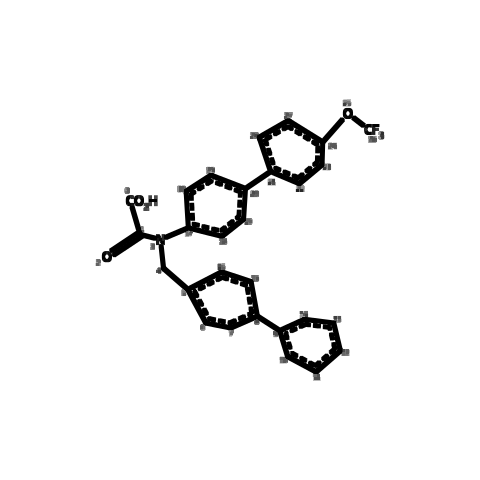 O=C(O)C(=O)N(Cc1ccc(-c2ccccc2)cc1)c1ccc(-c2ccc(OC(F)(F)F)cc2)cc1